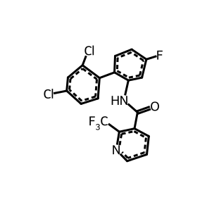 O=C(Nc1cc(F)ccc1-c1ccc(Cl)cc1Cl)c1cccnc1C(F)(F)F